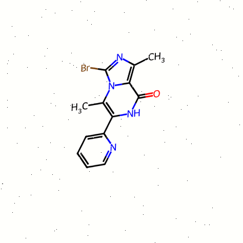 Cc1nc(Br)n2c(C)c(-c3ccccn3)[nH]c(=O)c12